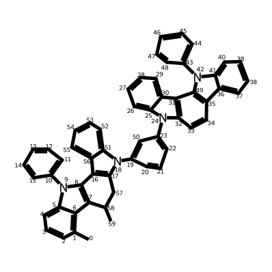 Cc1cccc2c1c1c(n2-c2ccccc2)-c2c(n(-c3cccc(-n4c5ccccc5c5c4ccc4c6ccccc6n(-c6ccccc6)c45)c3)c3ccccc23)CC1C